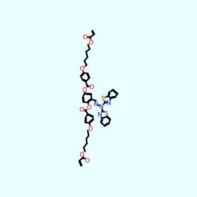 C=CC(=O)OCCCCCCOc1ccc(C(=O)Oc2ccc(OC(=O)c3ccc(OCCCCCCOC(=O)C=C)cc3)c(/C=N/N(c3nc4ccccc4s3)c3nc4ccccc4s3)c2)cc1